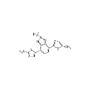 Cc1ccc(-c2ccc(-c3ccc(C)s3)c3nn(C)nc23)s1